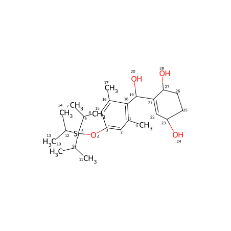 Cc1cc(O[Si](C(C)C)(C(C)C)C(C)C)cc(C)c1C(O)C1=CC(O)CCC1O